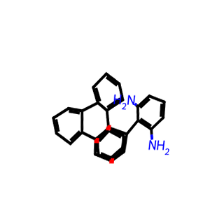 Nc1cccc(N)c1-c1ccccc1-c1ccccc1-c1ccccc1-c1ccccc1